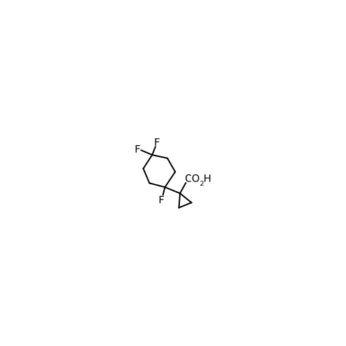 O=C(O)C1(C2(F)CCC(F)(F)CC2)CC1